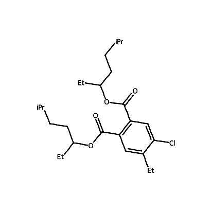 CCc1cc(C(=O)OC(CC)CCC(C)C)c(C(=O)OC(CC)CCC(C)C)cc1Cl